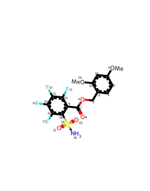 COc1ccc(COC(=O)c2c(F)c(F)c(F)c(F)c2S(N)(=O)=O)c(OC)c1